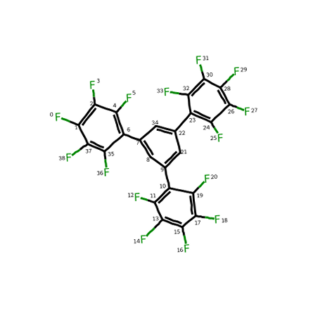 Fc1c(F)c(F)c(-c2cc(-c3c(F)c(F)c(F)c(F)c3F)cc(-c3c(F)c(F)c(F)c(F)c3F)c2)c(F)c1F